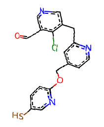 O=Cc1cncc(Cc2cc(COc3ccc(S)cn3)ccn2)c1Cl